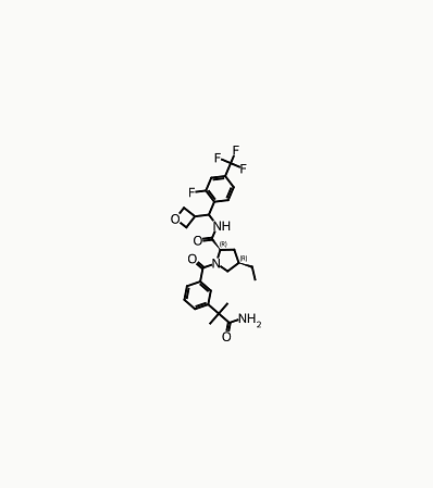 CC[C@@H]1C[C@H](C(=O)NC(c2ccc(C(F)(F)F)cc2F)C2COC2)N(C(=O)c2cccc(C(C)(C)C(N)=O)c2)C1